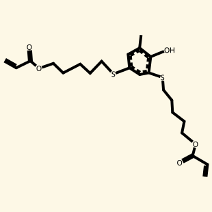 C=CC(=O)OCCCCCSc1cc(C)c(O)c(SCCCCCOC(=O)C=C)c1